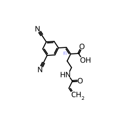 C=CC(=O)NCC/C(=C\c1cc(C#N)cc(C#N)c1)C(=O)O